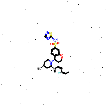 C=C(/C=C\C(F)=C/C)[C@H]1C[C@@H](C#N)CCN1[C@@H]1CCOc2cc(S(=O)(=O)Nc3ncns3)ccc21